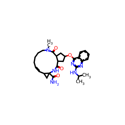 CC(C)Nc1nc(OC2CC3C(=O)NC4(C(N)=O)CC4C=CCCCCN(C)C(=O)C3C2)c2ccccc2n1